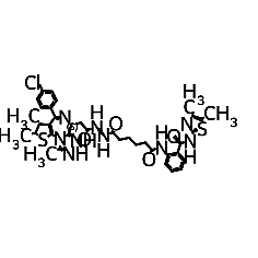 CC(=N)N1C(=N)[C@H](CC(=O)NNC(=O)CCCCC(=O)Nc2ccccc2C(=O)Nc2nc(C)c(C)s2)N=C(c2ccc(Cl)cc2)C2=C1SC(C)C2C